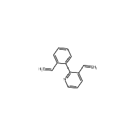 C=Cc1ccccc1-c1ncccc1C=C